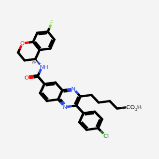 O=C(O)CCCCc1nc2cc(C(=O)N[C@H]3CCOc4cc(F)ccc43)ccc2nc1-c1ccc(Cl)cc1